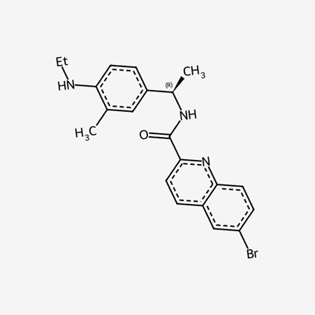 CCNc1ccc([C@@H](C)NC(=O)c2ccc3cc(Br)ccc3n2)cc1C